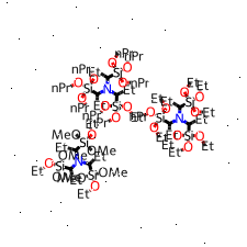 CCCO[Si](OCCC)(OCCC)C(CC)N(C(CC)[Si](OCCC)(OCCC)OCCC)C(CC)[Si](OCCC)(OCCC)OCCC.CCO[Si](OC)(OC)C(CC)N(C(CC)[Si](OC)(OC)OCC)C(CC)[Si](OC)(OC)OCC.CCO[Si](OCC)(OCC)C(CC)N(C(CC)[Si](OCC)(OCC)OCC)C(CC)[Si](OCC)(OCC)OCC